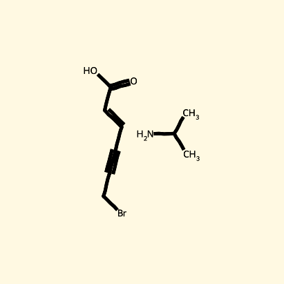 CC(C)N.O=C(O)C=CC#CCBr